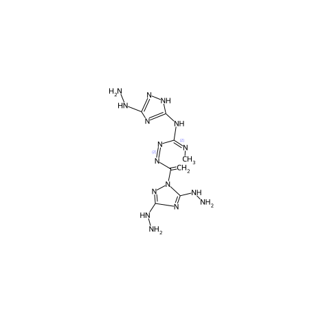 C=C(/N=N\C(=N/C)Nc1nc(NN)n[nH]1)n1nc(NN)nc1NN